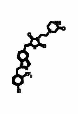 O=C1CN(CCN2C(=O)SC(=Cc3ccc4c(cnn4Cc4ccc(Cl)cc4C(F)(F)F)c3)C2=O)CCN1